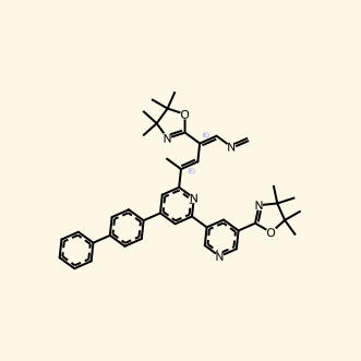 C=N/C=C(\C=C(/C)c1cc(-c2ccc(-c3ccccc3)cc2)cc(-c2cncc(C3=NC(C)(C)C(C)(C)O3)c2)n1)C1=NC(C)(C)C(C)(C)O1